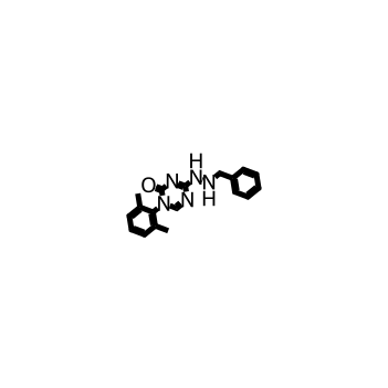 Cc1cccc(C)c1-n1cnc(NNCc2ccccc2)nc1=O